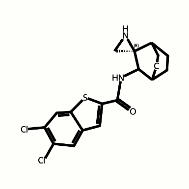 O=C(NC1C2CCC(CC2)[C@@]12CN2)c1cc2cc(Cl)c(Cl)cc2s1